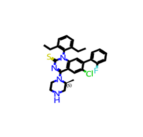 CCc1cccc(CC)c1-n1c(=S)nc(N2CCNC[C@@H]2C)c2cc(Cl)c(-c3ccccc3F)cc21